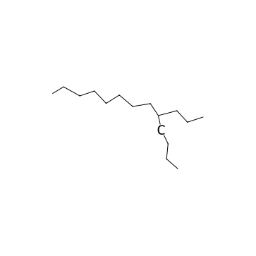 CCCCCCCCC(CCC)CCCC